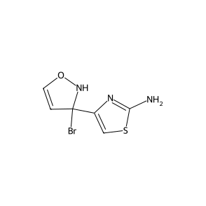 Nc1nc(C2(Br)C=CON2)cs1